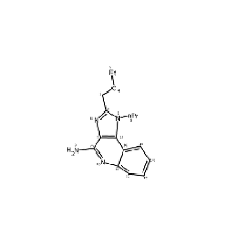 CCCn1c(COCC)nc2c(N)nc3ccccc3c21